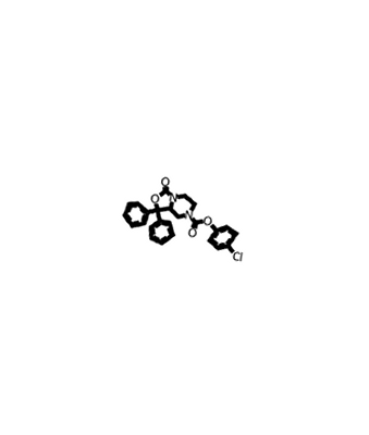 O=C(Oc1ccc(Cl)cc1)N1CCN2C(=O)OC(c3ccccc3)(c3ccccc3)C2C1